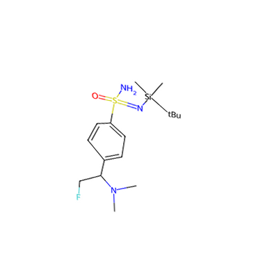 CN(C)C(CF)c1ccc(S(N)(=O)=N[Si](C)(C)C(C)(C)C)cc1